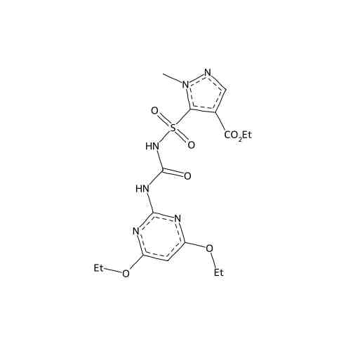 CCOC(=O)c1cnn(C)c1S(=O)(=O)NC(=O)Nc1nc(OCC)cc(OCC)n1